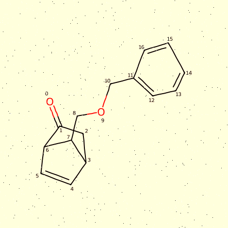 O=C1CC2C=CC1C2COCc1ccccc1